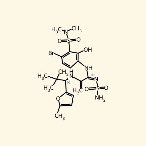 C=C(N[C@@H](c1ccc(C)o1)C(C)(C)C)/C(=N\S(N)(=O)=O)Nc1ccc(Br)c(S(=O)(=O)N(C)C)c1O